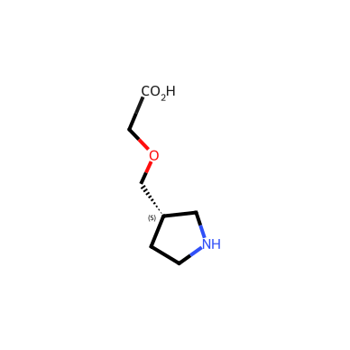 O=C(O)COC[C@H]1CCNC1